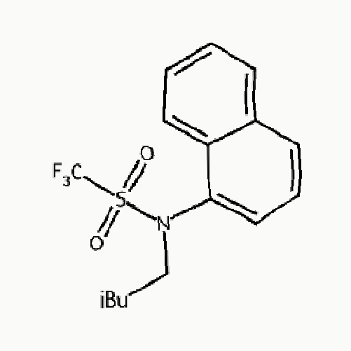 CCC(C)CN(c1cccc2ccccc12)S(=O)(=O)C(F)(F)F